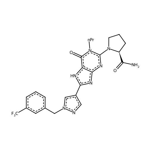 CCCn1c(N2CCC[C@H]2C(N)=O)nc2nc(-c3cnn(Cc4cccc(C(F)(F)F)c4)c3)[nH]c2c1=O